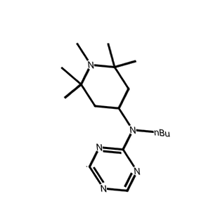 CCCCN(c1n[c]ncn1)C1CC(C)(C)N(C)C(C)(C)C1